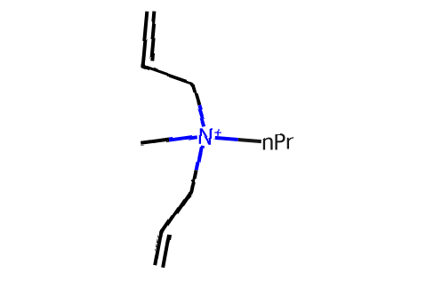 C=CC[N+](C)(CC=C)CCC